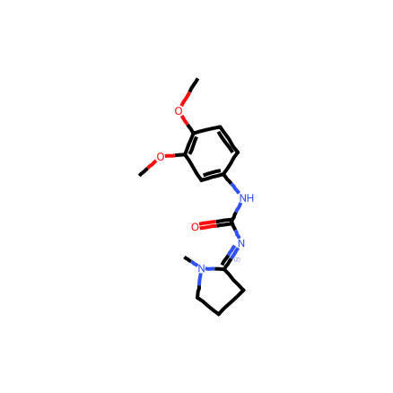 COc1ccc(NC(=O)/N=C2/CCCN2C)cc1OC